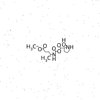 CCOC(=O)CCC(C)NC(=O)OC(=O)[C@]1(O)CCCN1